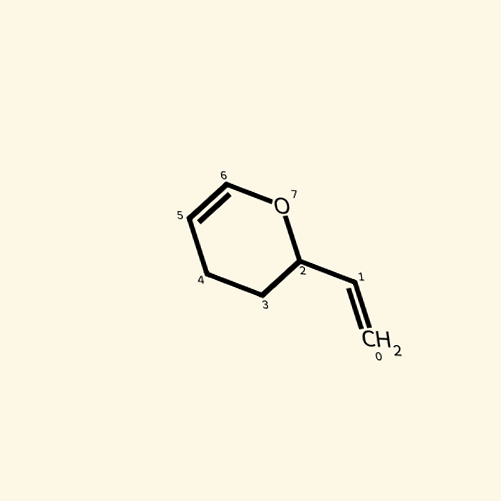 C=CC1CCC=CO1